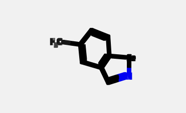 FC(F)(F)c1ccc2[se]ncc2c1